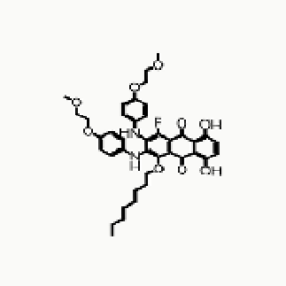 CCCCCCCCOc1c(Nc2ccc(OCCOC)cc2)c(Nc2ccc(OCCOC)cc2)c(F)c2c1C(=O)c1c(O)ccc(O)c1C2=O